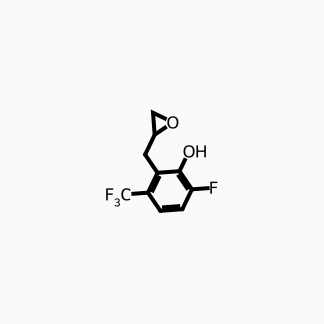 Oc1c(F)ccc(C(F)(F)F)c1CC1CO1